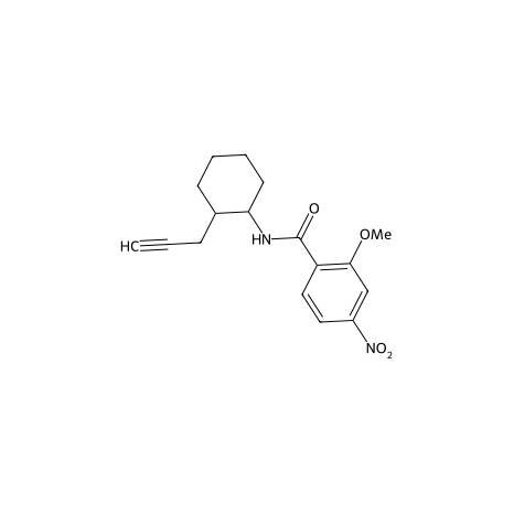 C#CCC1CCCCC1NC(=O)c1ccc([N+](=O)[O-])cc1OC